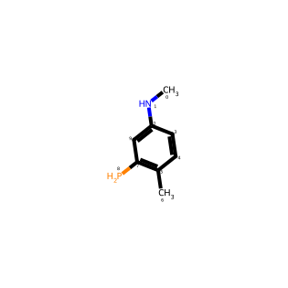 CNc1ccc(C)c(P)c1